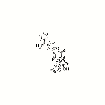 C[C@H](c1ccccc1)N1CCC(Oc2cc(F)c(S(=O)(=O)N(C(=O)O)c3cscn3)c(F)c2Br)CC1